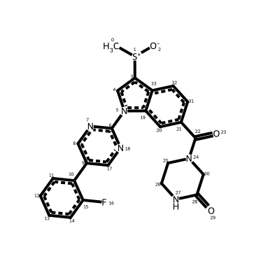 C[S+]([O-])c1cn(-c2ncc(-c3ccccc3F)cn2)c2cc(C(=O)N3CCNC(=O)C3)ccc12